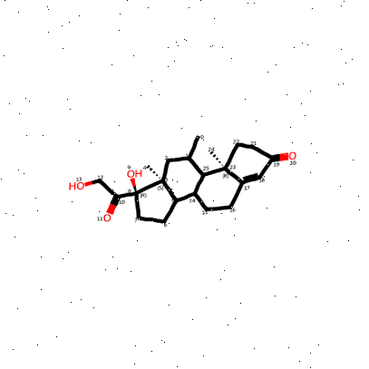 CC1C[C@@]2(C)C(CC[C@]2(O)C(=O)CO)C2CCC3=CC(=O)CC[C@]3(C)C12